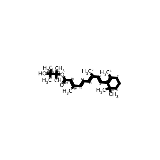 CC(C=CC1=C(C)CCCC1(C)C)=CC=CC(C)=CC(=O)OC(C)(C)C(C)(C)O